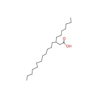 CCCCCCCCCCCCC(CCCCCCC)CC(=O)O